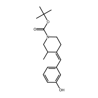 CC1CN(C(=O)OC(C)(C)C)CC/C1=C/c1cccc(O)c1